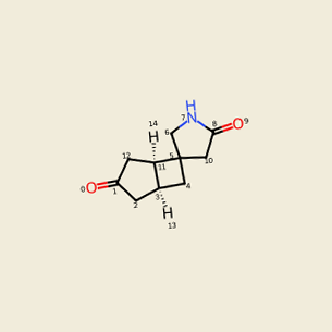 O=C1C[C@@H]2CC3(CNC(=O)C3)[C@@H]2C1